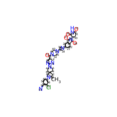 C[C@H]1CC2(CCN(c3ncc(C(=O)N4CCN(C5CN(c6ccc7c(c6)C(=O)N(C6CCC(=O)NC6=O)C7=O)C5)CC4)cn3)CC2)CN1c1ccc(C#N)c(Cl)c1